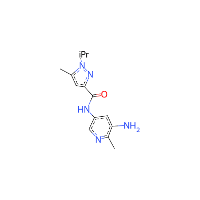 Cc1ncc(NC(=O)c2cc(C)n(C(C)C)n2)cc1N